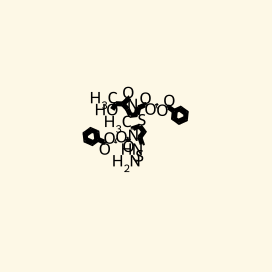 CC(O)C1C(=O)N2C(C(=O)OCOC(=O)c3ccccc3)=C(SC3CC(CNSN)N(C(=O)OCOC(=O)c4ccccc4)C3)C(C)C12